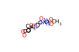 Cc1c([C@@H](O)CN2CCC3(CC2)CC(=O)N(c2cnc(S(C)(=O)=O)cn2)C3)ccc2c1COC2=O